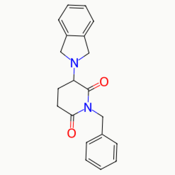 O=C1CCC(N2Cc3ccccc3C2)C(=O)N1Cc1ccccc1